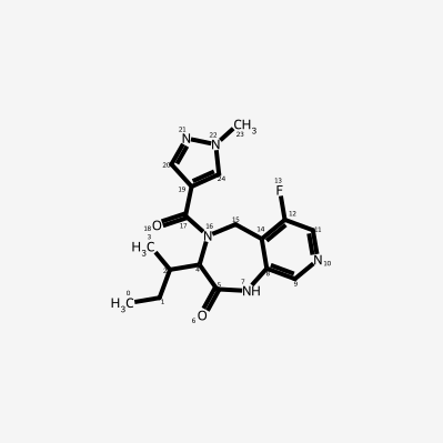 CCC(C)C1C(=O)Nc2cncc(F)c2CN1C(=O)c1cnn(C)c1